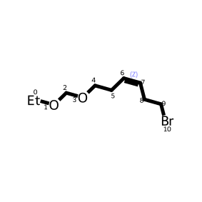 CCOCOCC/C=C\CCBr